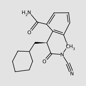 CN(C#N)C(=O)[C@@H](CC1CCCCC1)c1c(I)cccc1C(N)=O